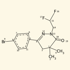 CC1(C)CC(c2ccc(Br)cc2)=NN(CC(F)F)C1=O